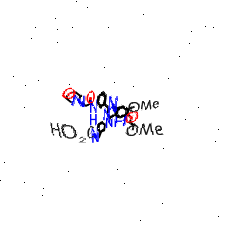 COCCOc1cc2c(Nc3ccc4c(cnn4C(=O)O)c3)nc(-c3cccc(NC(=O)CN4CCOCC4)c3)nc2cc1OC